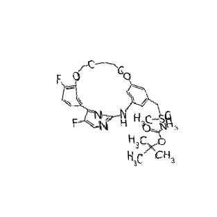 CC(C)(C)OC(=O)N=[SH](C)(C)Cc1cc2cc(c1)OCCCCCOc1cc(ccc1F)-c1nc(ncc1F)N2